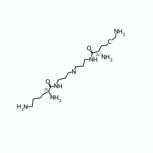 NCCCC[C@H](N)C(=O)NCCC[N]CCCNC(=O)[C@@H](N)CCCCN